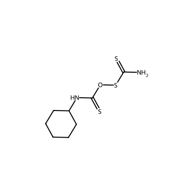 NC(=S)SOC(=S)NC1CCCCC1